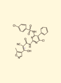 Cc1oncc1/C(O)=C(\C#N)C(=O)Nc1nc(Cl)c(-c2ccccc2)c(NS(=O)(=O)c2ccc(Cl)cc2)n1